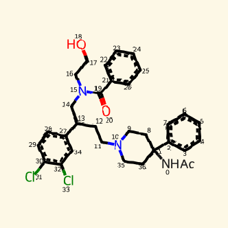 CC(=O)NC1(c2ccccc2)CCN(CCC(CN(CCO)C(=O)c2ccccc2)c2ccc(Cl)c(Cl)c2)CC1